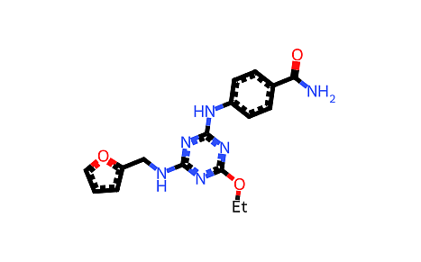 CCOc1nc(NCc2ccco2)nc(Nc2ccc(C(N)=O)cc2)n1